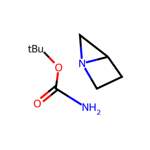 C1CN2CC12.CC(C)(C)OC(N)=O